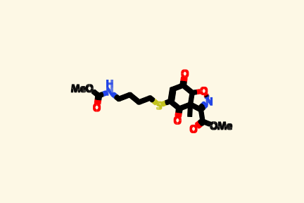 COC(=O)NCCCCSC1=CC(=O)C2ON=C(C(=O)OC)C2(C)C1=O